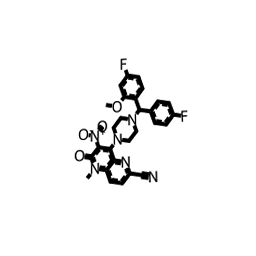 COc1cc(F)ccc1C(c1ccc(F)cc1)N1CCN(c2c([N+](=O)[O-])c(=O)n(C)c3ccc(C#N)nc23)CC1